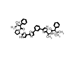 CC(NC(=O)C(c1ccccc1)N(C)C)c1nc(-c2cccc(-c3cnc(-c4c[nH]c([C@@H]5CCCN5C(=O)C(c5ccccc5)N(C)C)n4)o3)c2)c[nH]1